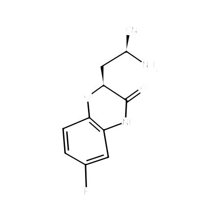 N#C[C@@H](N)C[C@@H]1Oc2ccc(F)cc2NC1=O